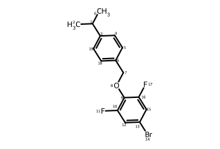 CC(C)c1ccc(COc2c(F)cc(Br)cc2F)cc1